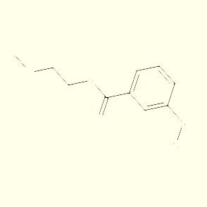 COCCNC(=O)c1cccc(NN)c1